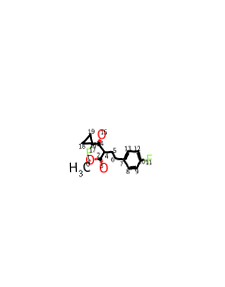 COC(=O)C(CCc1ccc(F)cc1)C(=O)C1(F)CC1